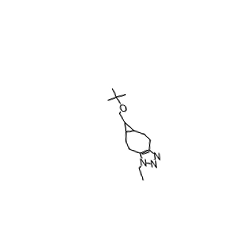 CCn1nnc2c1CCC1C(CC2)C1COC(C)(C)C